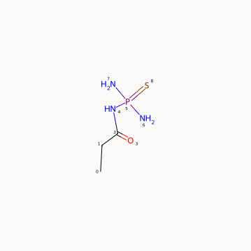 CCC(=O)NP(N)(N)=S